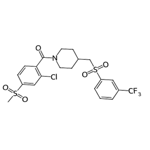 CS(=O)(=O)c1ccc(C(=O)N2CCC(CS(=O)(=O)c3cccc(C(F)(F)F)c3)CC2)c(Cl)c1